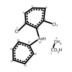 CC(=O)O.Clc1cccc(Cl)c1[AsH]c1ccccc1